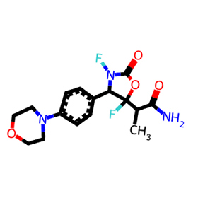 CC(C(N)=O)C1(F)OC(=O)N(F)C1c1ccc(N2CCOCC2)cc1